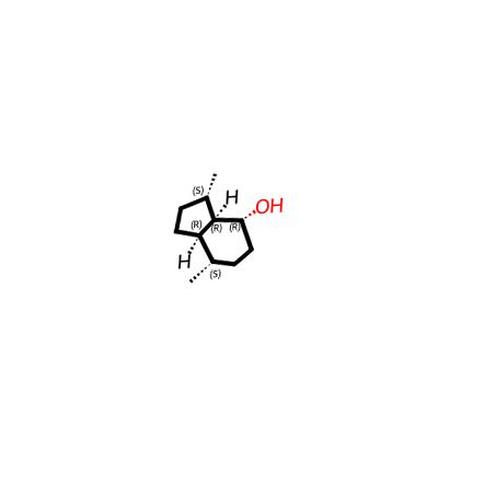 C[C@H]1CC[C@@H](O)[C@H]2[C@@H]1CC[C@@H]2C